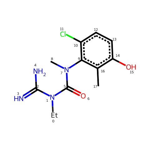 CCN(C(=N)N)C(=O)N(C)c1c(Cl)ccc(O)c1C